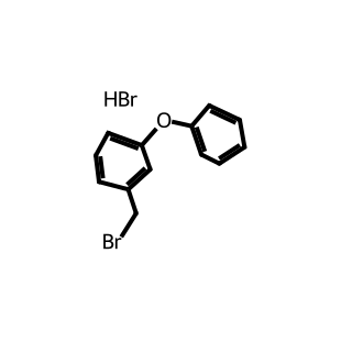 Br.BrCc1cccc(Oc2ccccc2)c1